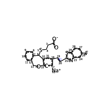 O=C([O-])CCSC1c2ccccc2COc2ccc(/C=C/c3nc4cc(F)ccc4s3)cc21.[Na+]